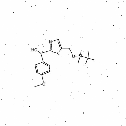 COc1ccc(C(O)c2ncc(CO[Si](C)(C)C(C)(C)C)s2)cc1